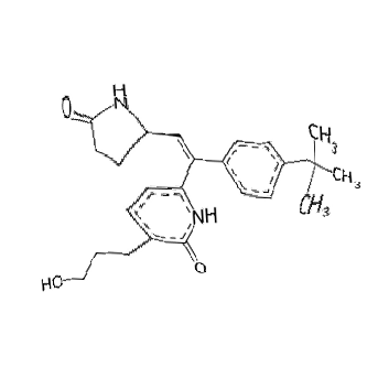 CC(C)(C)c1ccc(C(=C[C@H]2CCC(=O)N2)c2ccc(CCCO)c(=O)[nH]2)cc1